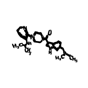 CC(C)Nc1cccnc1N1CCN(C(=O)c2c[nH]c3cc(CN(C)C)ccc23)CC1